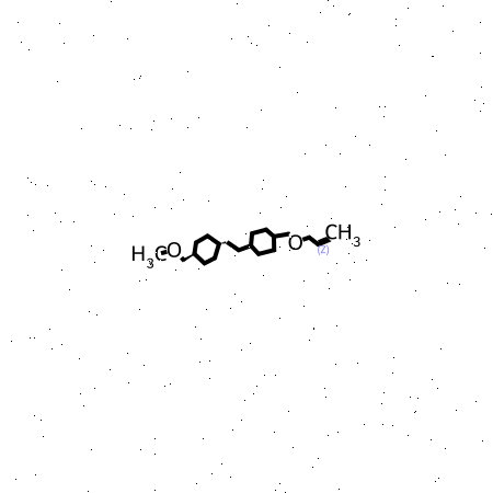 C/C=C\COCC1CCC(CC[C@H]2CC[C@H](COC)CC2)CC1